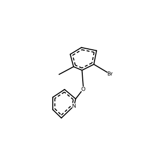 Cc1cccc(Br)c1Oc1ccccn1